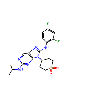 CC(C)Nc1ncc2nc(Nc3ccc(F)cc3F)n(C3CCS(=O)(=O)CC3)c2n1